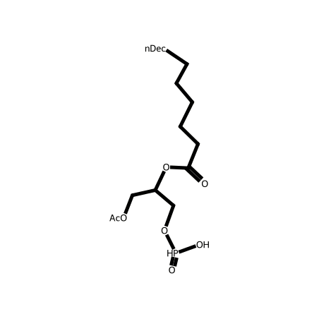 CCCCCCCCCCCCCCCC(=O)OC(COC(C)=O)CO[PH](=O)O